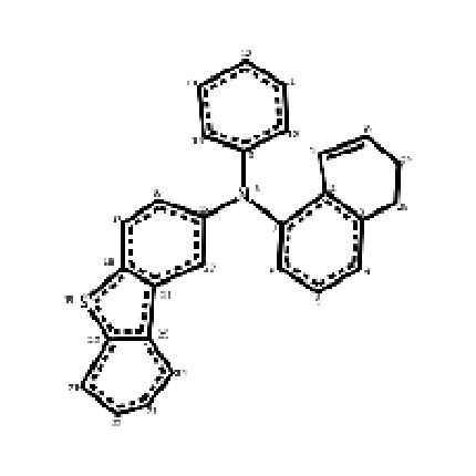 C1=Cc2c(cccc2N(c2ccccc2)c2ccc3sc4ccccc4c3c2)CC1